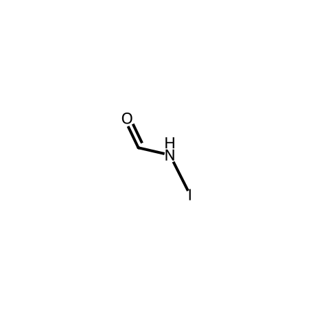 O=CNI